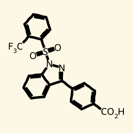 O=C(O)c1ccc(-c2nn(S(=O)(=O)c3ccccc3C(F)(F)F)c3ccccc23)cc1